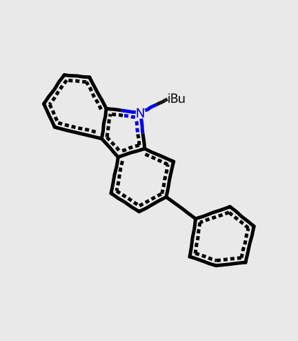 CCC(C)n1c2ccccc2c2ccc(-c3ccccc3)cc21